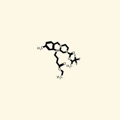 CCOC(=O)CCCNc1cc(C)ccc1CN1CCN(C(=O)OC(C)C(F)(F)F)CC1